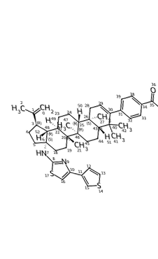 C=C(C)[C@@H]1CC[C@]2(Nc3nc(-c4ccsc4)cs3)CC[C@]3(C)[C@H](CC[C@@H]4[C@@]5(C)CC=C(c6ccc(C(=O)O)cc6)C(C)(C)[C@@H]5CC[C@]43C)[C@@H]12